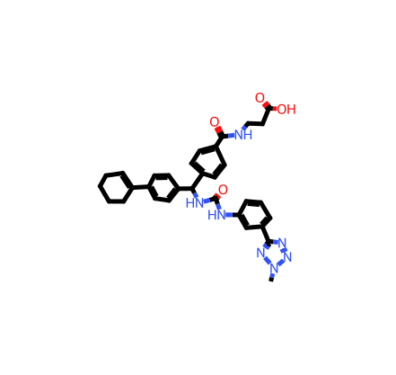 Cn1nnc(-c2cccc(NC(=O)NC(c3ccc(C(=O)NCCC(=O)O)cc3)c3ccc(C4=CCCCC4)cc3)c2)n1